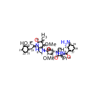 CC[C@H](C)[C@@H]([C@@H](CC(=O)N1CCC[C@H]1[C@H](OC)[C@@H](C)C(=O)N[C@@H](Cc1ccccc1)C(=O)O)OC)N(C)C(=O)[C@@H](NC(=O)c1cccc(N)c1)C(C)C